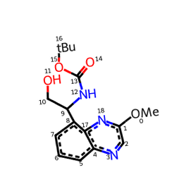 COc1cnc2cccc(C(CO)NC(=O)OC(C)(C)C)c2n1